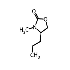 CCC[C@@H]1COC(=O)N1C